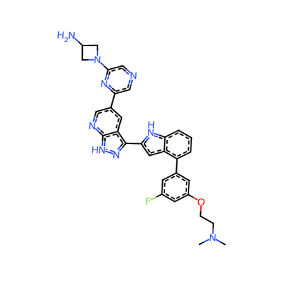 CN(C)CCOc1cc(F)cc(-c2cccc3[nH]c(-c4n[nH]c5ncc(-c6cncc(N7CC(N)C7)n6)cc45)cc23)c1